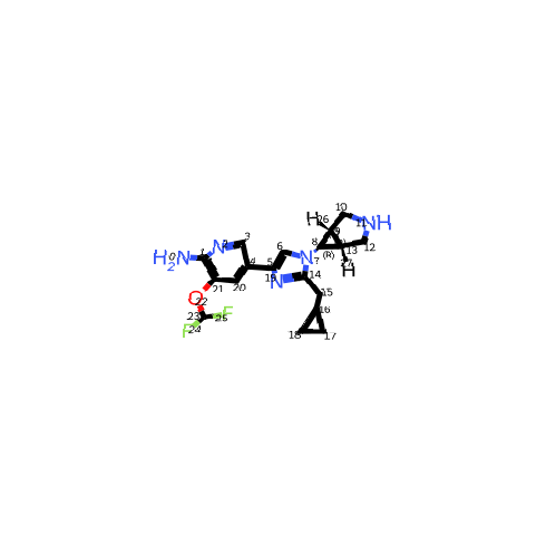 Nc1ncc(-c2cn([C@@H]3[C@@H]4CNC[C@@H]43)c(CC3CC3)n2)cc1OC(F)F